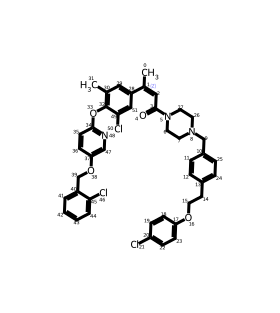 C/C(=C/C(=O)N1CCN(Cc2ccc(CCOc3ccc(Cl)cc3)cc2)CC1)c1cc(C)c(Oc2ccc(OCc3ccccc3Cl)cn2)c(Cl)c1